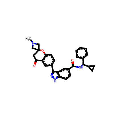 CN1CC2(CC(=O)c3cc(-c4n[nH]c5ccc(C(=O)NC(c6ccccc6)C6CC6)cc45)ccc3O2)C1